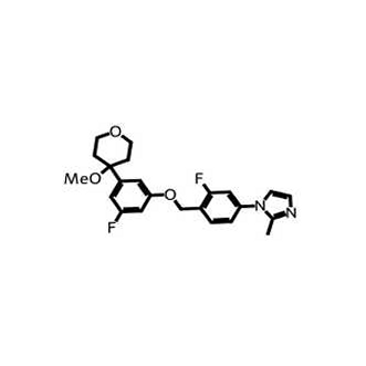 COC1(c2cc(F)cc(OCc3ccc(-n4ccnc4C)cc3F)c2)CCOCC1